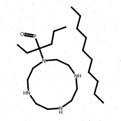 CCCC(CC)(P=O)N1CCNCCNCCNCC1.CCCCCCCCCC